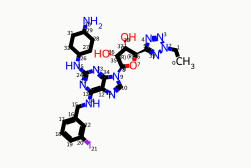 CCn1nnc([C@H]2O[C@@H](n3cnc4c(NCc5cccc(I)c5)nc(NC5CCC(N)CC5)nc43)[C@H](O)[C@@H]2O)n1